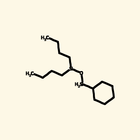 CCCC[Si](CCCC)O[SiH2]C1CCCCC1